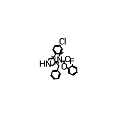 CCN(C(=O)Oc1ccccc1F)[C@]1(Cc2ccccc2)CNC[C@H]1c1ccc(Cl)cc1